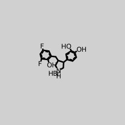 Br.Oc1ccc(C2CNCC2Cc2cc(F)cc(F)c2O)cc1O